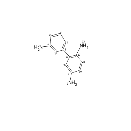 Nc1cccc(-c2cc(N)ccc2N)c1